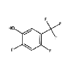 Oc1cc(C(F)(F)F)c(F)cc1F